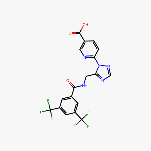 O=C(O)c1ccc(-n2ncnc2CNC(=O)c2cc(C(F)(F)F)cc(C(F)(F)F)c2)nc1